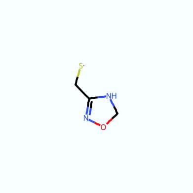 [S]CC1=NOCN1